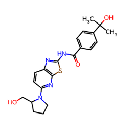 CC(C)(O)c1ccc(C(=O)Nc2nc3ccc(N4CCCC4CO)nc3s2)cc1